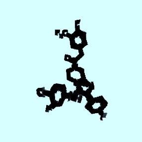 O=C(Cc1ccc(F)c(C(F)(F)F)c1)N1CCn2c(nc(-c3ccc(F)cc3)c2Nc2ccc(Cl)c(F)c2)C1